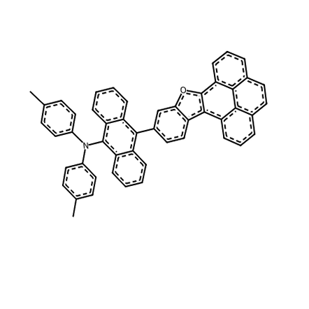 Cc1ccc(N(c2ccc(C)cc2)c2c3ccccc3c(-c3ccc4c(c3)oc3c5cccc6ccc7cccc(c43)c7c65)c3ccccc23)cc1